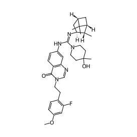 COc1ccc(CCn2cnc3cc(N/C(=N/[C@H]4C[C@@H]5C[C@H]([C@@H]4C)C5(C)C)N4CCC(C)(O)CC4)ccc3c2=O)c(F)c1